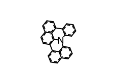 c1ccc2c(c1)-c1cccc3ccc4c(c13)N2c1cccc2cccc-4c12